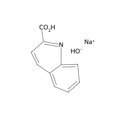 O=C(O)c1ccc2ccccc2n1.[Na+].[OH-]